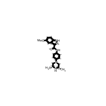 COc1ccc2[nH]nc(C(=O)Nc3ccc(N4C[C@@H](C)N[C@@H](C)C4)cc3)c2c1